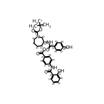 CC(C)(C)OC(=O)N1CCC[C@@H](OC(=O)c2ccc(NC(=O)c3ccccc3O)cc2)[C@H](NC(=O)c2ccc(O)cc2)C1